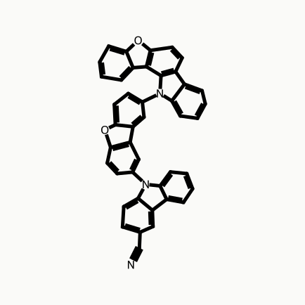 N#Cc1ccc2c(c1)c1ccccc1n2-c1ccc2oc3ccc(-n4c5ccccc5c5ccc6oc7ccccc7c6c54)cc3c2c1